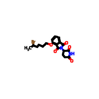 CC(Br)CCCCOc1cccc2c1C(=O)N(C1CCC(=O)NC1=O)C2=O